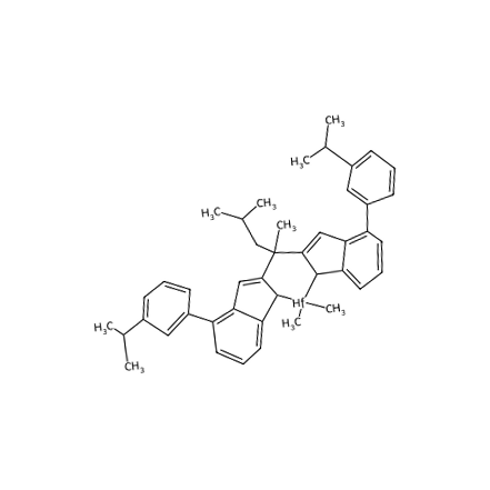 CC(C)CC1(C)C2=Cc3c(-c4cccc(C(C)C)c4)cccc3[CH]2[Hf]([CH3])([CH3])[CH]2C1=Cc1c(-c3cccc(C(C)C)c3)cccc12